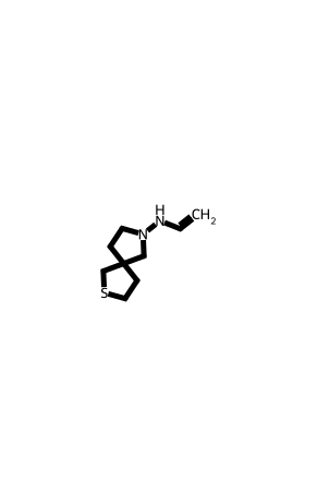 C=CNN1CCC2(CCSC2)C1